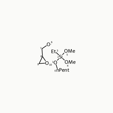 CCCCCO[Si](CC)(OC)OC.[O]CC1CO1